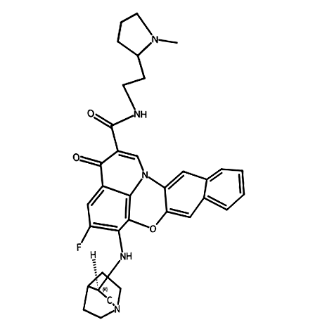 CN1CCCC1CCNC(=O)c1cn2c3c(c(N[C@H]4CN5CCC4CC5)c(F)cc3c1=O)Oc1cc3ccccc3cc1-2